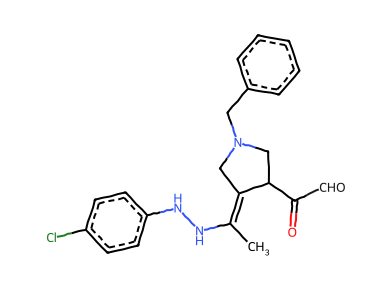 CC(NNc1ccc(Cl)cc1)=C1CN(Cc2ccccc2)CC1C(=O)C=O